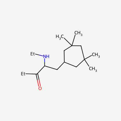 CCNC(CC1CC(C)(C)CC(C)(C)C1)C(=O)CC